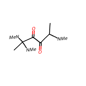 CNC(C)C(=O)C(=O)C(C)(NC)NC